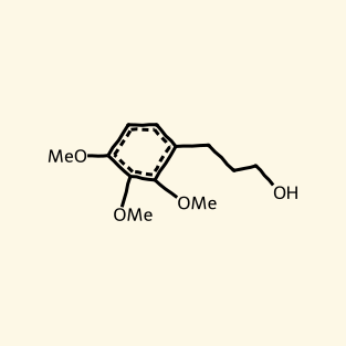 COc1ccc(CCCO)c(OC)c1OC